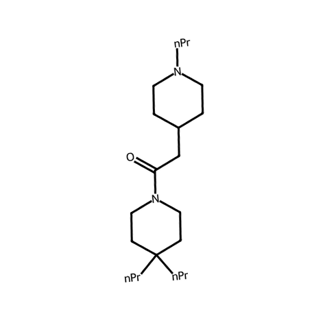 CCCN1CCC(CC(=O)N2CCC(CCC)(CCC)CC2)CC1